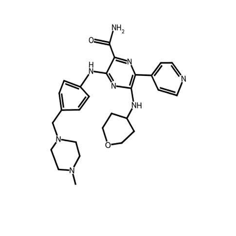 CN1CCN(Cc2ccc(Nc3nc(NC4CCOCC4)c(-c4ccncc4)nc3C(N)=O)cc2)CC1